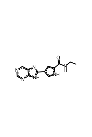 CCNC(=O)c1cc(-c2nc3cncnc3[nH]2)c[nH]1